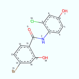 O=C(Nc1ccc(O)cc1Cl)c1ccc(Br)cc1O